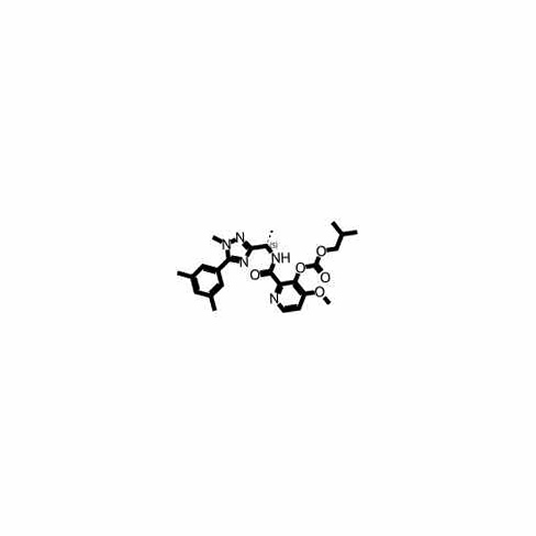 COc1ccnc(C(=O)N[C@@H](C)c2nc(-c3cc(C)cc(C)c3)n(C)n2)c1OC(=O)OCC(C)C